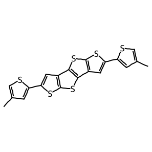 Cc1csc(-c2cc3c(s2)sc2c4cc(-c5cc(C)cs5)sc4sc32)c1